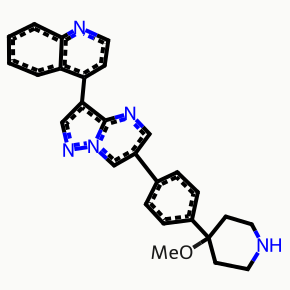 COC1(c2ccc(-c3cnc4c(-c5ccnc6ccccc56)cnn4c3)cc2)CCNCC1